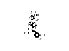 O=C(O)[C@H](Cc1ccc(O)c(O)c1)Nc1ncnc2c1ncn2[C@@H]1O[C@H](CO)[C@H](O)C1O